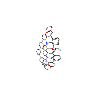 Cc1cccc(-c2ccccc2)c1N(c1cc(-c2ccccc2)ccc1-c1ccccc1)c1ccc2ccc3c(N(c4cc(-c5ccccc5)ccc4-c4ccccc4)c4c(C)cccc4-c4ccccc4)ccc4ccc1c2c43